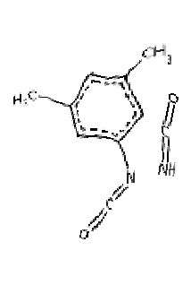 Cc1cc(C)cc(N=C=O)c1.N=C=O